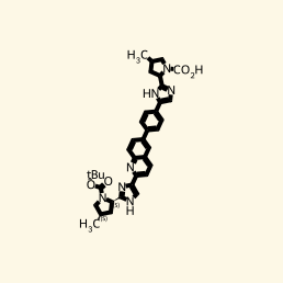 CC1CC(c2ncc(-c3ccc(-c4ccc5nc(-c6c[nH]c([C@@H]7C[C@H](C)CN7C(=O)OC(C)(C)C)n6)ccc5c4)cc3)[nH]2)N(C(=O)O)C1